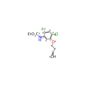 C#CCCOc1cc(NC(=O)OCC)c(F)cc1Cl